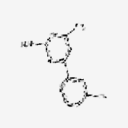 Cc1cc(-c2cccc(C#N)c2)nc(N)n1